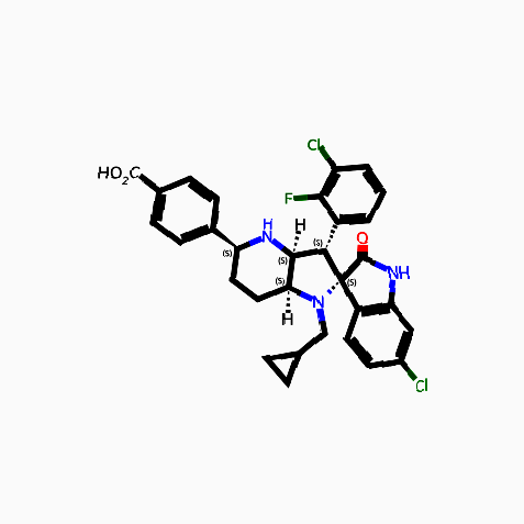 O=C(O)c1ccc([C@@H]2CC[C@H]3[C@@H](N2)[C@H](c2cccc(Cl)c2F)[C@]2(C(=O)Nc4cc(Cl)ccc42)N3CC2CC2)cc1